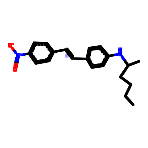 CCCCC(C)Nc1ccc(/C=C/c2ccc([N+](=O)[O-])cc2)cc1